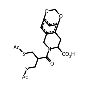 CC(=O)SCC(CSC(C)=O)C(=O)N1Cc2cc3cc(c2CC1C(=O)O)OCO3